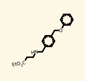 CCOC(=O)CCNCc1ccc(COc2ccccc2)cc1